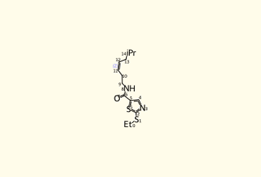 CCSc1ncc(C(=O)NCC/C=C\CC(C)C)s1